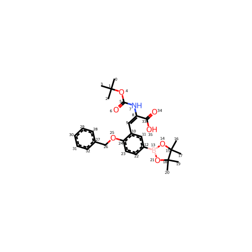 CC(C)(C)OC(=O)N/C(=C/c1cc(B2OC(C)(C)C(C)(C)O2)ccc1OCc1ccccc1)C(=O)O